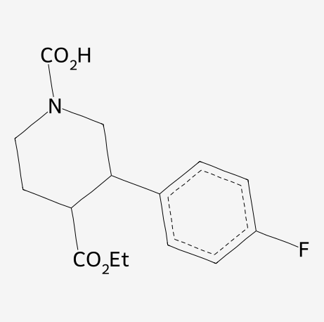 CCOC(=O)C1CCN(C(=O)O)CC1c1ccc(F)cc1